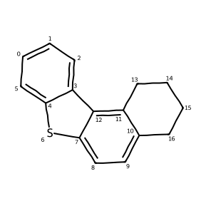 c1ccc2c(c1)sc1ccc3c(c12)CCCC3